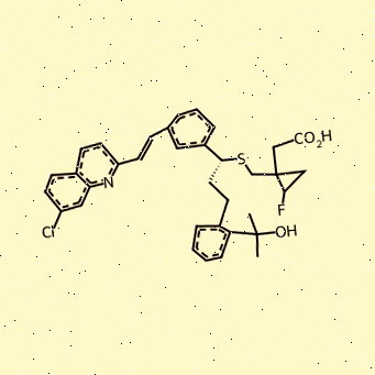 CC(C)(O)c1ccccc1CC[C@@H](SCC1(CC(=O)O)CC1F)c1cccc(/C=C/c2ccc3ccc(Cl)cc3n2)c1